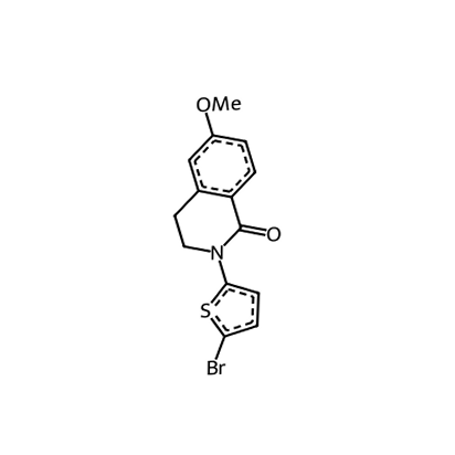 COc1ccc2c(c1)CCN(c1ccc(Br)s1)C2=O